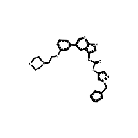 O=C(Nc1c[nH]c2ncc(-c3cccc(OCCN4CCOCC4)c3)cc12)Oc1cnn(Cc2ccccc2)c1